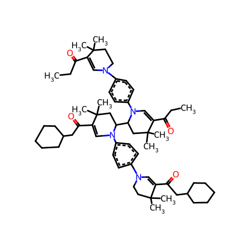 CCC(=O)C1=CN(c2ccc(N3C=C(C(=O)CC)C(C)(C)CC3C3CC(C)(C)C(C(=O)CC4CCCCC4)=CN3c3ccc(N4C=C(C(=O)CC5CCCCC5)C(C)(C)CC4)cc3)cc2)CCC1(C)C